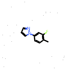 Cc1ccc(-n2cccn2)cc1F